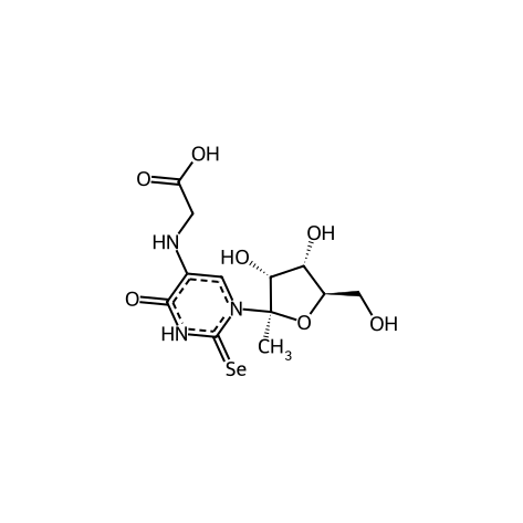 C[C@@]1(n2cc(NCC(=O)O)c(=O)[nH]c2=[Se])O[C@H](CO)[C@@H](O)[C@H]1O